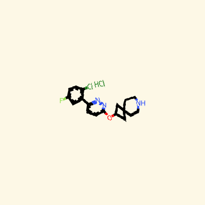 Cl.Fc1ccc(Cl)c(-c2ccc(OC3CC4(CCNCC4)C3)nn2)c1